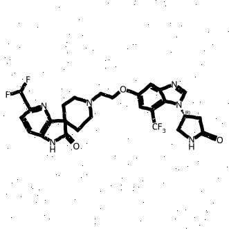 O=C1C[C@@H](n2cnc3cc(OCCN4CCC5(CC4)C(=O)Nc4ccc(C(F)F)nc45)cc(C(F)(F)F)c32)CN1